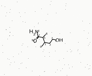 CC(CCO)C(C)C(N)=O